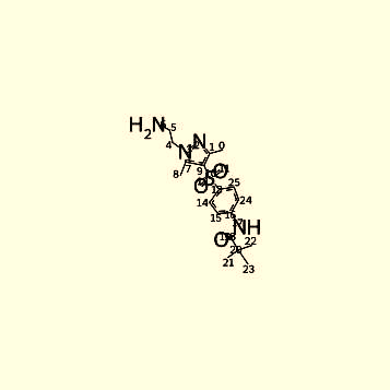 Cc1nn(CCN)c(C)c1S(=O)(=O)c1ccc(NC(=O)C(C)(C)C)cc1